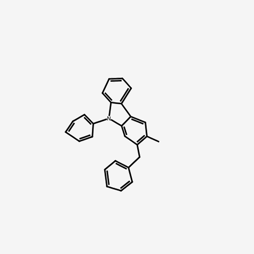 Cc1cc2c3ccccc3n(-c3ccccc3)c2cc1Cc1ccccc1